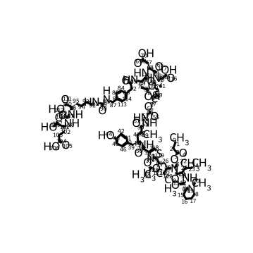 CCCC(=O)OCN(C(=O)[C@@H](NC(=O)[C@H]1CCCCN1C)C(C)CC)[C@H](C[C@@H](OC(C)=O)c1nc(C(=O)N[C@@H](Cc2ccc(O)cc2)C[C@H](C)C(=O)NNC(=O)OCCSSC[C@H](NC(=O)[C@H](CC(=O)O)NC(=O)[C@H](CC(=O)O)NC(=O)Cc2ccc(CNC(=O)NCCCC[C@H](NC(=O)N[C@H](CCC(=O)O)C(=O)O)C(=O)O)cc2)C(=O)O)cs1)C(C)C